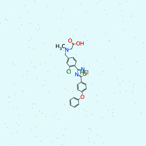 CN(CC(=O)O)Cc1ccc(-c2noc(-c3ccc(Oc4ccccc4)cc3)n2)c(Cl)c1.Cl